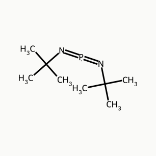 CC(C)(C)N=[P]=NC(C)(C)C